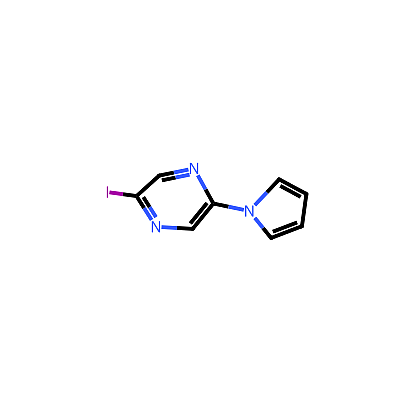 Ic1cnc(-n2cccc2)cn1